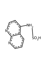 CS(=O)(=O)O.Nc1ccnc2ncccc12